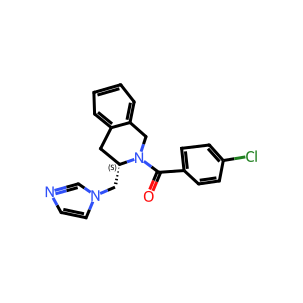 O=C(c1ccc(Cl)cc1)N1Cc2ccccc2C[C@H]1Cn1ccnc1